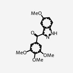 COc1ccc2[nH]nc(C(=O)c3cc(OC)c(OC)c(OC)c3)c2c1